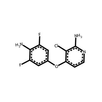 Nc1nccc(Oc2cc(F)c(N)c(F)c2)c1Cl